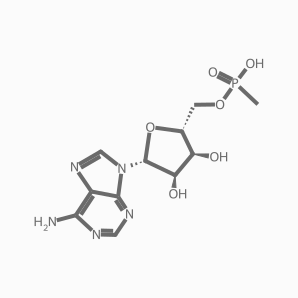 CP(=O)(O)OC[C@H]1O[C@@H](n2cnc3c(N)ncnc32)[C@H](O)[C@@H]1O